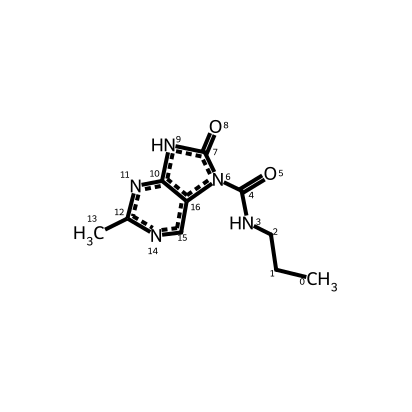 CCCNC(=O)n1c(=O)[nH]c2nc(C)ncc21